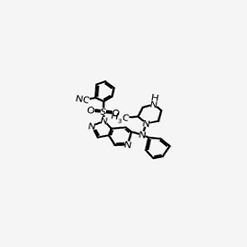 CC1CNCCN1N(c1ccccc1)c1cc2c(cn1)cnn2S(=O)(=O)c1ccccc1C#N